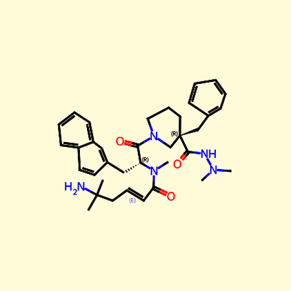 CN(C)NC(=O)[C@@]1(Cc2ccccc2)CCCN(C(=O)[C@@H](Cc2ccc3ccccc3c2)N(C)C(=O)/C=C/CC(C)(C)N)C1